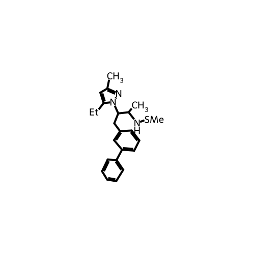 CCc1cc(C)nn1C(Cc1cccc(-c2ccccc2)c1)C(C)NSC